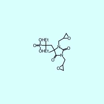 CCC(CC)(CC1(C)C(=O)N(CC2CO2)C(=O)N1CC1CO1)P(=O)(O)O